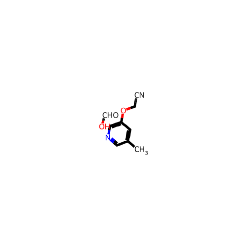 Cc1cncc(OCC#N)c1.O=CO